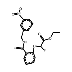 CCOC(=O)C(F)Oc1ccccc1C(=O)NCc1cccc([N+](=O)[O-])c1